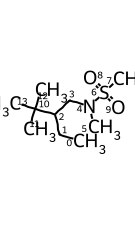 CCC(CN(C)S(C)(=O)=O)C(C)(C)C